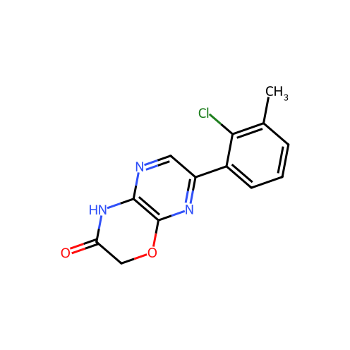 Cc1cccc(-c2cnc3c(n2)OCC(=O)N3)c1Cl